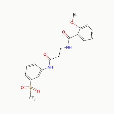 CCOc1ccccc1C(=O)NCCC(=O)Nc1cccc(S(=O)(=O)C(F)(F)F)c1